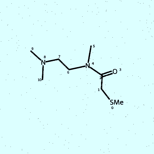 CSCC(=O)N(C)CCN(C)C